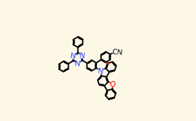 N#Cc1ccc(-c2cc(-c3nc(-c4ccccc4)nc(-c4ccccc4)n3)ccc2-n2c3ccccc3c3c4oc5ccccc5c4ccc32)cc1